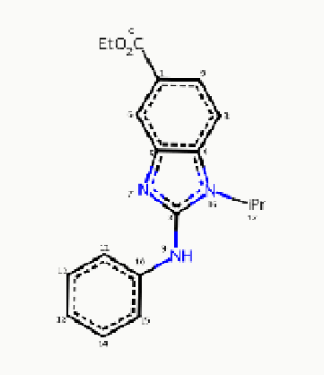 CCOC(=O)c1ccc2c(c1)nc(Nc1ccccc1)n2C(C)C